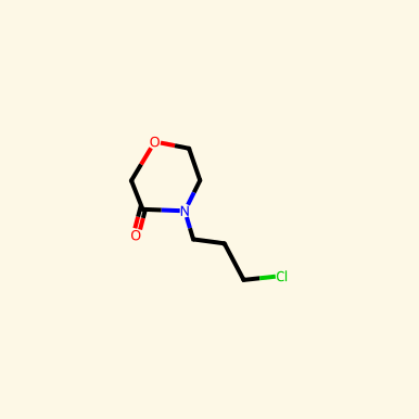 O=C1COCCN1CCCCl